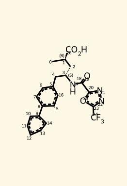 C[C@H](C[C@@H](Cc1ccc(-c2ccccc2)cc1)NC(=O)c1nnc(C(F)(F)F)o1)C(=O)O